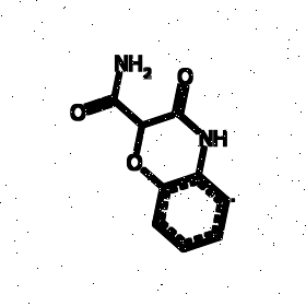 NC(=O)C1Oc2ccc[c]c2NC1=O